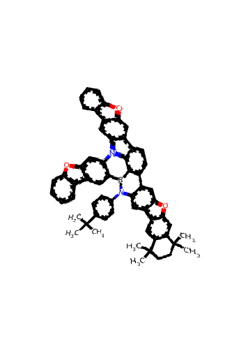 CC(C)(C)c1ccc(N2B3c4cc5c(cc4-n4c6cc7c(cc6c6ccc(c3c64)-c3cc4oc6cc8c(cc6c4cc32)C(C)(C)CCC8(C)C)oc2ccccc27)oc2ccccc25)cc1